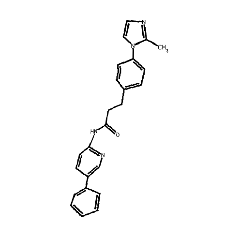 Cc1nccn1-c1ccc(CCC(=O)Nc2ccc(-c3ccccc3)cn2)cc1